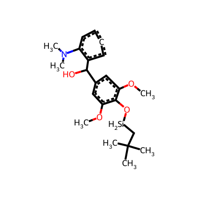 COc1cc(C(O)c2ccccc2N(C)C)cc(OC)c1O[SiH2]CC(C)(C)C